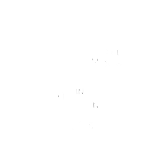 O=S(=O)(O)c1ccc2nc(-c3c(Cl)cccc3Cl)[nH]c2c1